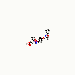 CCOC(=O)CCC(=NOCc1ccc(OCc2nc(-c3ccccc3)oc2C)cc1)c1ccco1